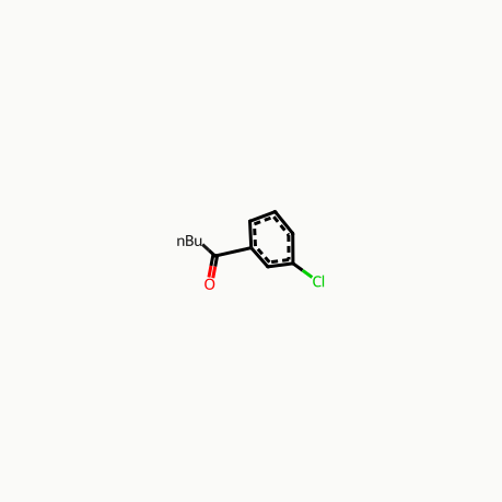 CCCCC(=O)c1cccc(Cl)c1